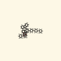 c1ccc(-c2ccc(-c3ccc(-c4nc(-c5ccccc5)nc(-n5c6ccccc6c6cccc(-c7ccc8c(c7)oc7cccc(-c9ccccc9)c78)c65)n4)cc3)cc2)cc1